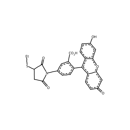 CCSC1CC(=O)N(c2ccc(-c3c4ccc(=O)cc-4oc4cc(O)ccc34)c(C(=O)O)c2)C1=O